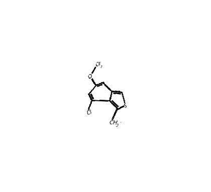 [CH2]c1scc2cc(OC(F)(F)F)cc(Cl)c12